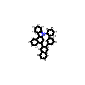 c1ccc(-c2cc3ccccc3cc2-c2cc3c(c4ccccc24)c2ccccc2n3-c2ccccc2)cc1